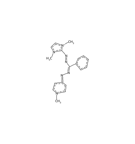 Cn1ccc(=NN=C(N=Nc2n(C)cc[n+]2C)c2ccccc2)cc1